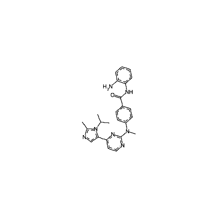 Cc1ncc(-c2ccnc(N(C)c3ccc(C(=O)Nc4ccccc4N)cc3)n2)n1C(C)C